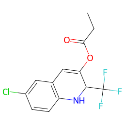 CCC(=O)OC1=Cc2cc(Cl)ccc2NC1C(F)(F)F